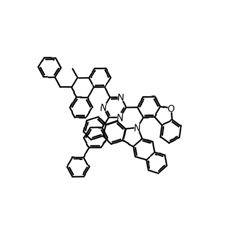 CC1c2cccc(-c3nc(-c4ccc(-c5ccccc5)cc4)nc(-c4ccc5oc6ccccc6c5c4-n4c5cc6ccccc6cc5c5cc6ccccc6cc54)n3)c2-c2ccccc2C1Cc1ccccc1